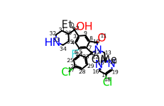 CCC(O)(c1cc(F)c2c(c1)C(=O)N(Cc1ncc(Cl)cn1)C2(OC)c1ccc(Cl)cc1)C1CCNCC1